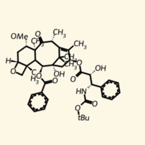 CO[C@H]1C[C@H]2OC[C@@]2(C)C2[C@H](OC(=O)c3ccccc3)[C@]3(O)C[C@H](OC(=O)[C@H](O)[C@@H](NC(=O)OC(C)(C)C)c4ccccc4)C(C)=C([C@@H](C)C(=O)[C@@]21C)C3(C)C